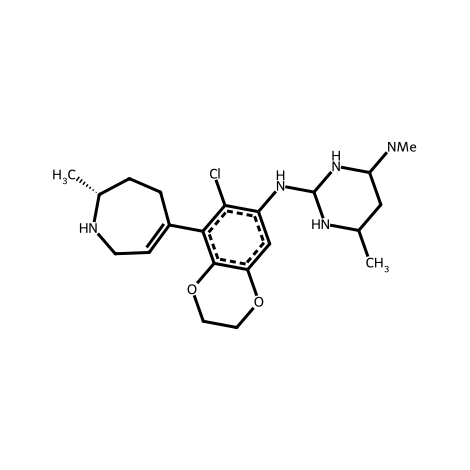 CNC1CC(C)NC(Nc2cc3c(c(C4=CCN[C@H](C)CC4)c2Cl)OCCO3)N1